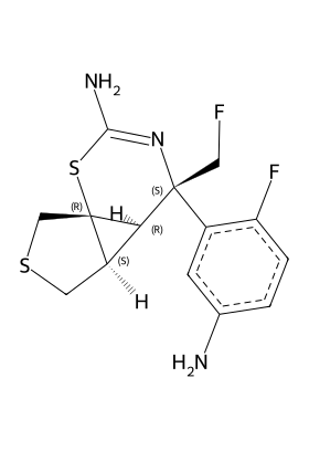 NC1=N[C@](CF)(c2cc(N)ccc2F)[C@H]2[C@H]3CSC[C@]32S1